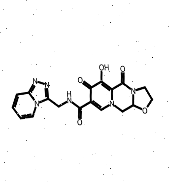 O=C(NCc1nnc2ccccn12)c1cn2c(c(O)c1=O)C(=O)N1CCOC1C2